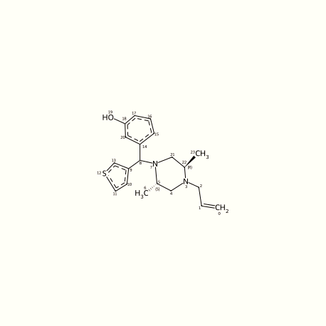 C=CCN1C[C@H](C)N(C(c2ccsc2)c2cccc(O)c2)C[C@H]1C